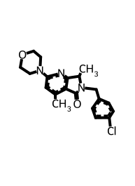 Cc1cc(N2CCOCC2)nc2c1C(=O)N(Cc1ccc(Cl)cc1)C2C